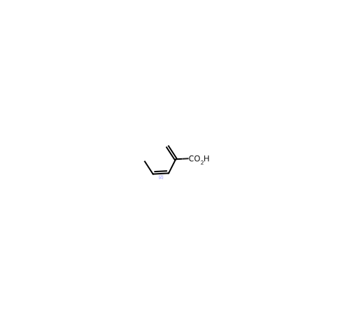 C=C(/C=C\C)C(=O)O